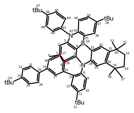 Cc1cc2c3c(c1)N(c1ccc(C(C)(C)C)cc1-c1cccc(-c4ccc(C(C)(C)C)cc4)c1)c1cc4c(cc1B3c1cc(C(C)(C)C)ccc1N2c1ccc(C(C)(C)C)cc1)C(C)(C)CCC4(C)C